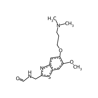 COc1cc2sc(CNC=O)nc2cc1OCCCN(C)C